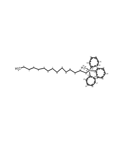 CCCCCCCCCCCCCCCP(C)(c1ccccc1)(c1ccccc1)c1ccccc1